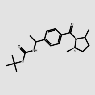 CC(NC(=O)OC(C)(C)C)c1ccc(C(=O)N2C(C)CC[C@H]2C)cc1